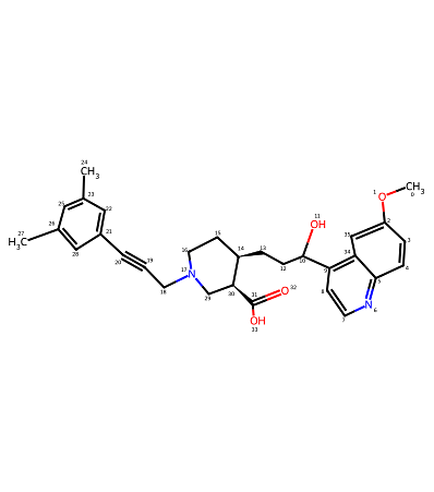 COc1ccc2nccc(C(O)CC[C@@H]3CCN(CC#Cc4cc(C)cc(C)c4)C[C@@H]3C(=O)O)c2c1